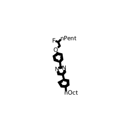 CCCCCCCCc1ccc(-c2cnc(-c3ccc(OCC(F)CCCCC)cc3)nc2)cc1